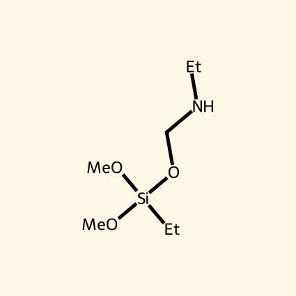 CCNCO[Si](CC)(OC)OC